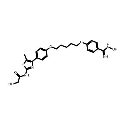 Cc1sc(NC(=O)CO)nc1-c1ccc(OCCCCCOc2ccc(C(=N)NO)cc2)cc1